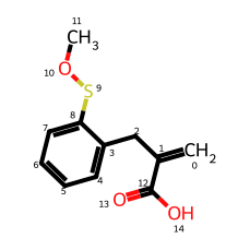 C=C(Cc1ccccc1SOC)C(=O)O